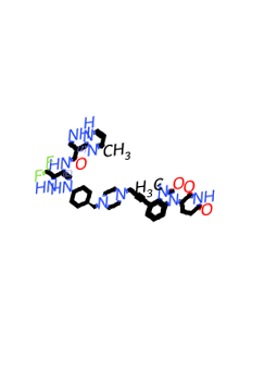 CC1=N/C(=C(/C=N)C(=O)N/C(=C/N[C@H]2CC[C@H](CN3CCN(CC#Cc4cccc5c4n(C)c(=O)n5C4CCC(=O)NC4=O)CC3)CC2)C(=N)C(F)F)NC=C1